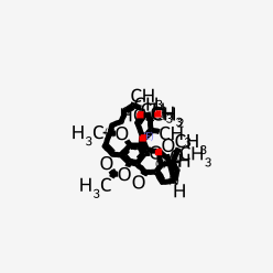 C=C(O)/C(C)=C/CC12OC(C)(C)[C@@H]3C[C@@H](C=C4C(=O)c5c(OC(C)=O)c6c(c(CC=C(C)C)c5O[C@]431)O[C@](C)(CCC=C(C)C)C=C6)C2=O